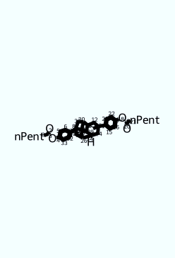 CCCCCC(=O)Oc1ccc(C23CC4C5CC6(c7ccc(OC(=O)CCCCC)cc7)C[C@H]4C(C2)[C@H](C6)C5C3)cc1